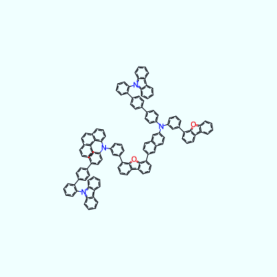 c1cc(-c2cccc3c2oc2ccccc23)cc(N(c2ccc(-c3ccc(-c4ccccc4-n4c5ccccc5c5ccccc54)cc3)cc2)c2ccc3cc(-c4cccc5c4oc4c(-c6cccc(N(c7ccc(-c8ccc(-c9ccccc9-n9c%10ccccc%10c%10ccccc%109)cc8)cc7)c7cccc8ccc9ccccc9c78)c6)cccc45)ccc3c2)c1